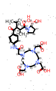 CC(C)C(C(=O)c1ccc(NC(=O)CN2CCN(CC(=O)O)CCN(CC(=O)O)CCN(CC(=O)O)CC2)cc1)[C@H](C)C(=O)N1CCC[C@H]1B(O)O